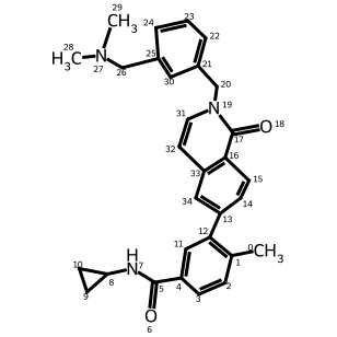 Cc1ccc(C(=O)NC2CC2)cc1-c1ccc2c(=O)n(Cc3cccc(CN(C)C)c3)ccc2c1